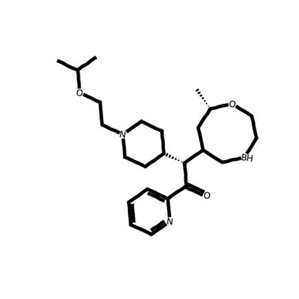 CC(C)OCCN1CCC([C@@H](C(=O)c2ccccn2)C2CBCCO[C@@H](C)C2)CC1